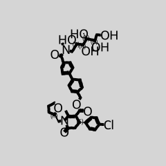 CC1=C(C(=O)OCc2ccc(-c3ccc(C(=O)N(C)C[C@H](O)[C@@H](O)[C@H](O)[C@H](O)CO)cc3)cc2)[C@H](c2ccc(Cl)cc2)CC(=O)N1C[C@H]1CCCO1